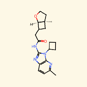 Cc1ccc2nc(NC(=O)CC3C[C@]4(C)CCO[C@H]34)n(C3CCC3)c2n1